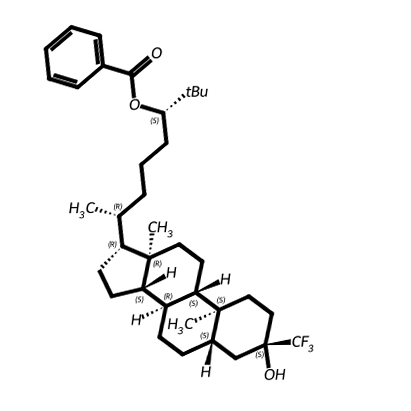 C[C@H](CCC[C@H](OC(=O)c1ccccc1)C(C)(C)C)[C@H]1CC[C@H]2[C@@H]3CC[C@H]4C[C@](O)(C(F)(F)F)CC[C@]4(C)[C@H]3CC[C@]12C